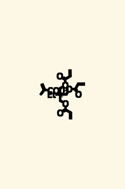 C=C(C)C(=O)O.C=CC(=O)OCC(CC)(COC(=O)C=C)COC(=O)C=C